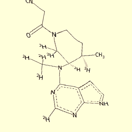 [2H]c1nc(N(C([2H])([2H])[2H])[C@@]2([2H])C([2H])([2H])N(C(=O)C[N+]#[C-])CC[C@@]2([2H])C)c2cc[nH]c2n1